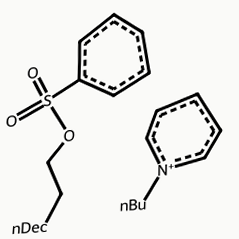 CCCCCCCCCCCCOS(=O)(=O)c1ccccc1.CCCC[n+]1ccccc1